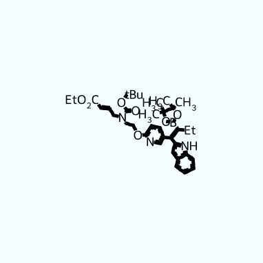 CCOC(=O)/C=C/CN(CCOc1ccc(/C(=C(/CC)B2OC(C)(C)C(C)(C)O2)c2cc3ccccc3[nH]2)cn1)C(=O)OC(C)(C)C